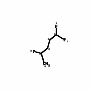 CC(F)CC[C](F)F